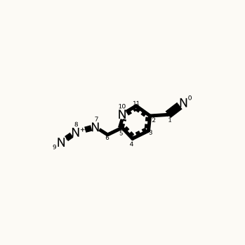 N#Cc1ccc(CN=[N+]=[N-])nc1